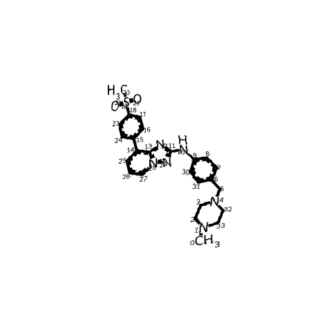 CN1CCN(Cc2ccc(Nc3nc4c(-c5ccc(S(C)(=O)=O)cc5)cccn4n3)cc2)CC1